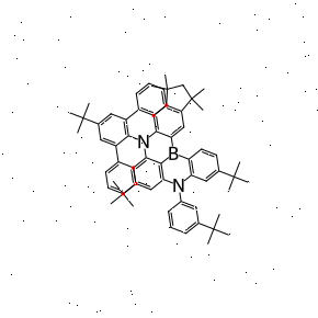 CC(C)(C)c1cccc(N2c3cc(C(C)(C)C)ccc3B3c4cc5c(cc4N(c4c(-c6ccccc6)cc(C(C)(C)C)cc4-c4ccccc4)c4cc(C(C)(C)C)cc2c43)C(C)(C)CC5(C)C)c1